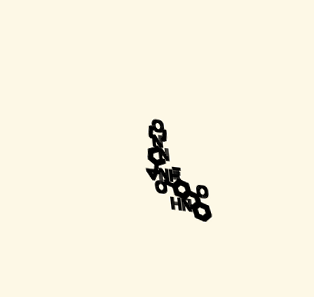 O=C(NC1(c2ccc(N3CCOCC3)nc2)CC1)c1cc2[nH]c3ccccc3c(=O)c2cc1F